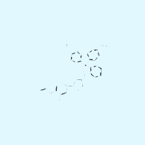 COc1ccc(C(OCC2CCC(N(C)/C=C(/C)C(=O)NC=O)O2)(c2ccccc2)c2ccc(OC)cc2)cc1